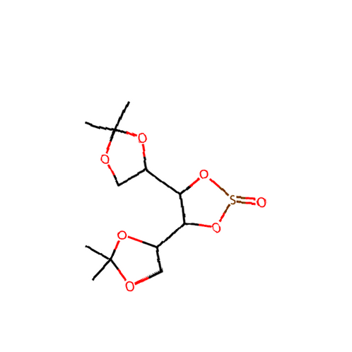 CC1(C)OCC(C2OS(=O)OC2C2COC(C)(C)O2)O1